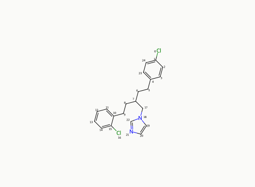 Clc1ccc(CCC(CCc2ccccc2Cl)Cn2ccnc2)cc1